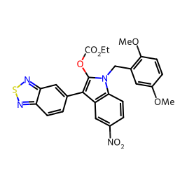 CCOC(=O)Oc1c(-c2ccc3nsnc3c2)c2cc([N+](=O)[O-])ccc2n1Cc1cc(OC)ccc1OC